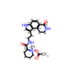 CC[N+]1(OC(=O)C(F)(F)F)CCCCC1C(=O)NCCc1c[nH]c2ccc3c(c12)CCNC3=O